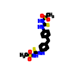 CS(=O)(=O)NC(=S)Nc1ccc(Cc2ccc(NC(=S)NS(C)(=O)=O)cc2)cc1